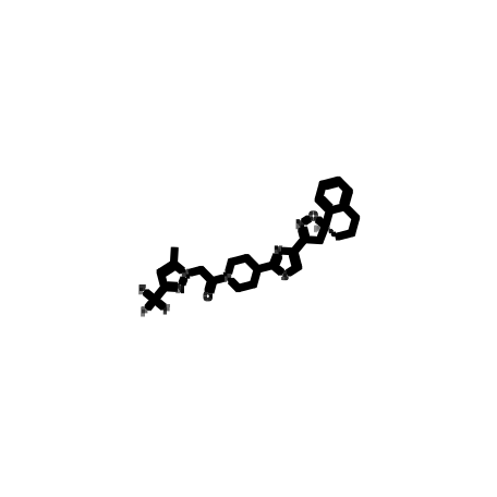 Cc1cc(C(F)(F)F)nn1CC(=O)N1CCC(c2nc(C3=NO[C@]4(CCCc5ccccc54)C3)cs2)CC1